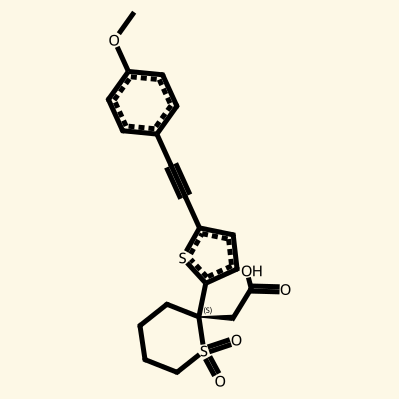 COc1ccc(C#Cc2ccc([C@@]3(CC(=O)O)CCCCS3(=O)=O)s2)cc1